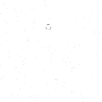 COCCOCOCCOCCOCCOCCOCc1ccc(C(C)C)cc1.OO